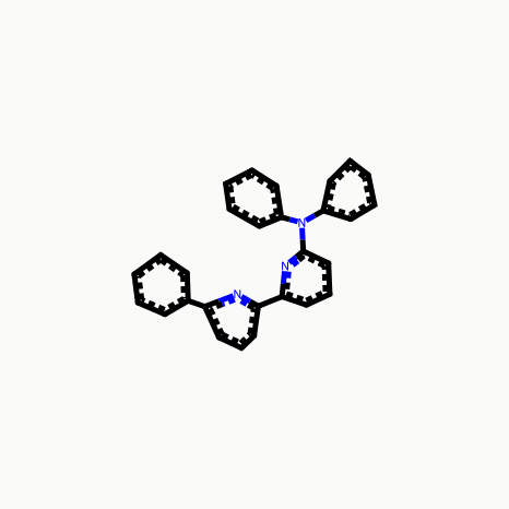 c1ccc(-c2cccc(-c3cccc(N(c4ccccc4)c4ccccc4)n3)n2)cc1